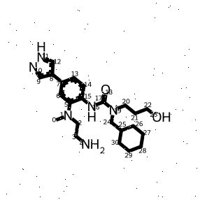 CN(CCN)c1cc(-c2cn[nH]c2)ccc1NC(=O)N(CCCO)CC1CCCCC1